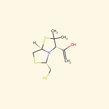 C=C(O)[C@@H]1N2[C@H](CS)SC[C@H]2SC1(C)C